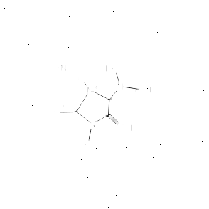 C=C1C(N(C)C)N(C)C(Cl)N1C.Cl.N